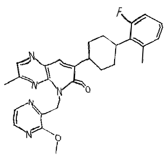 COc1nccnc1Cn1c(=O)c(C2CCC(c3c(C)cccc3F)CC2)cc2ncc(C)nc21